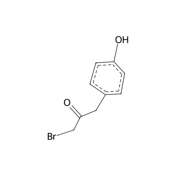 O=C(CBr)Cc1ccc(O)cc1